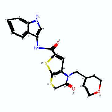 O=C(Nc1c[nH]c2ccccc12)c1cc2c(s1)SCC(=O)N2CC1CCOCC1